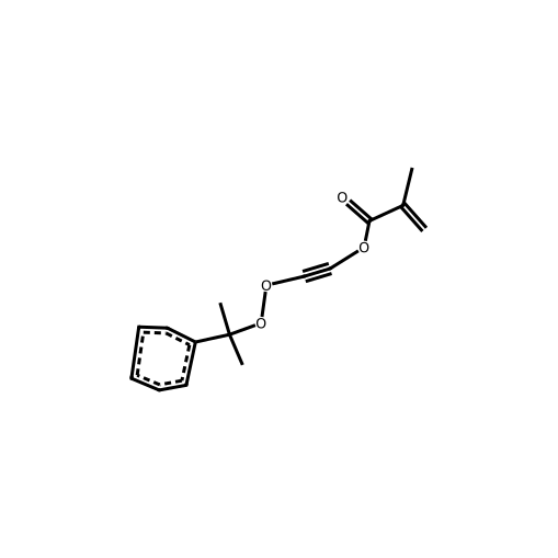 C=C(C)C(=O)OC#COOC(C)(C)c1ccccc1